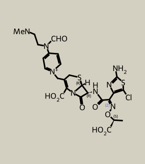 CNCCN(C=O)c1cc[n+](CC2=C(C(=O)O)N3C(=O)[C@@H](NC(=O)/C(=N\O[C@@H](C)C(=O)O)c4nc(N)sc4Cl)[C@H]3SC2)cc1